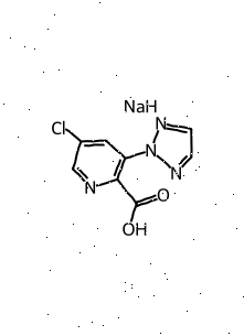 O=C(O)c1ncc(Cl)cc1-n1nccn1.[NaH]